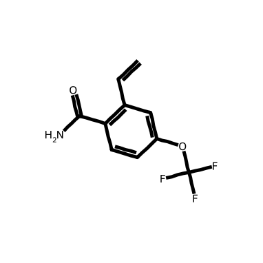 C=Cc1cc(OC(F)(F)F)ccc1C(N)=O